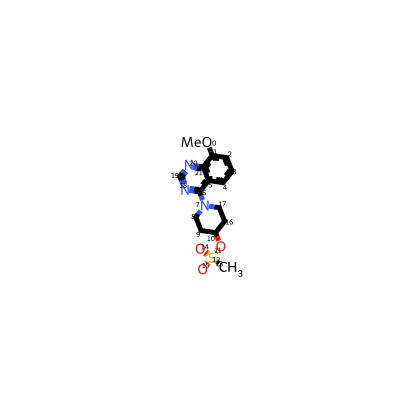 COc1cccc2c(N3CCC(OS(C)(=O)=O)CC3)ncnc12